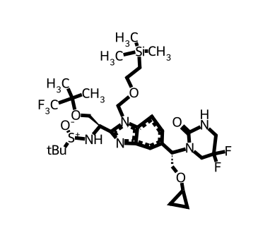 CC(C)(C)[S+]([O-])N[C@@H](COC(C)(C)C(F)(F)F)c1nc2cc([C@@H](COC3CC3)N3CC(F)(F)CNC3=O)ccc2n1COCC[Si](C)(C)C